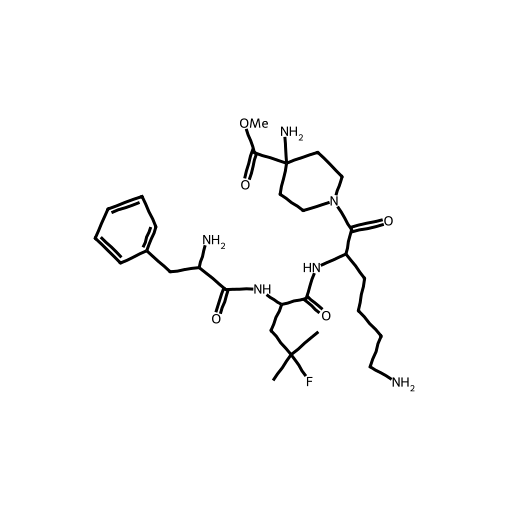 COC(=O)C1(N)CCN(C(=O)C(CCCCN)NC(=O)C(CC(C)(C)F)NC(=O)C(N)Cc2ccccc2)CC1